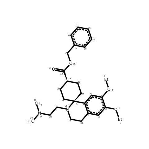 CCOc1cc2c(cc1OCC)[C@]1(CC[C@H](C(=O)OCc3ccccc3)CC1)N(CCN(C)C)CC2